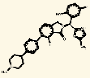 Cc1c[nH]c([C@H](c2cc(F)ccc2O)N2Cc3ccc(-c4ccc(C5CCN(C)CC5)cc4)c(F)c3C2=O)n1